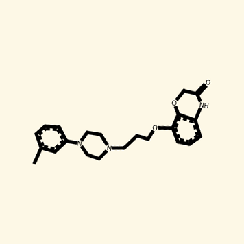 Cc1cccc(N2CCN(CCCOc3cccc4c3OCC(=O)N4)CC2)c1